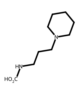 O=C(O)NCCCN1CCCCC1